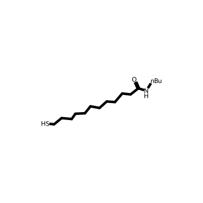 CCCCNC(=O)CCCCCCCCCCCS